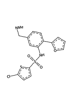 CNCc1ccc(-c2ccco2)c(NS(=O)(=O)c2ccc(Cl)s2)c1